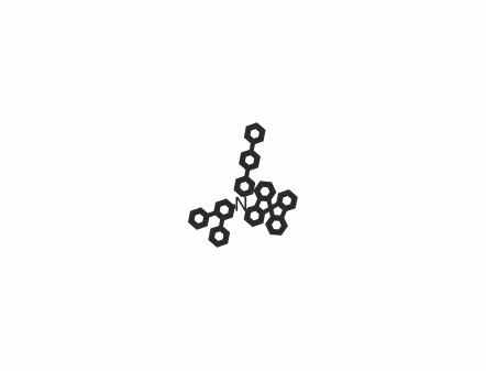 c1ccc(-c2ccc(-c3ccc(N(c4ccc(-c5ccccc5)c(-c5ccccc5)c4)c4cccc5c4-c4ccccc4C54c5ccccc5-c5ccccc54)cc3)cc2)cc1